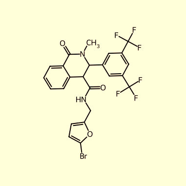 CN1C(=O)c2ccccc2C(C(=O)NCc2ccc(Br)o2)C1c1cc(C(F)(F)F)cc(C(F)(F)F)c1